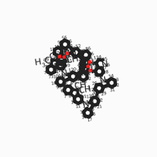 CC1(C)c2ccccc2-c2ccc(-n3c4ccccc4c4ccc(-c5ccc6c(c5)c5ccccc5n6-c5cc(-n6c7ccccc7c7cc(-c8ccc9c%10ccccc%10n(-c%10ccc%11c(c%10)C(C)(C)c%10ccccc%10-%11)c9c8)ccc76)c6c(-n7c8ccccc8c8cc(-c9ccc%10c%11ccccc%11n(-c%11ccc%12c(c%11)C(C)(C)c%11ccccc%11-%12)c%10c9)ccc87)ccnc6c5)cc43)cc21